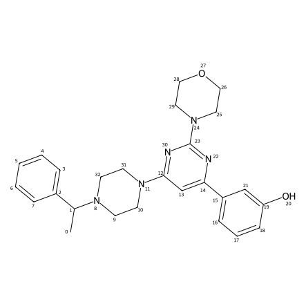 CC(c1ccccc1)N1CCN(c2cc(-c3cccc(O)c3)nc(N3CCOCC3)n2)CC1